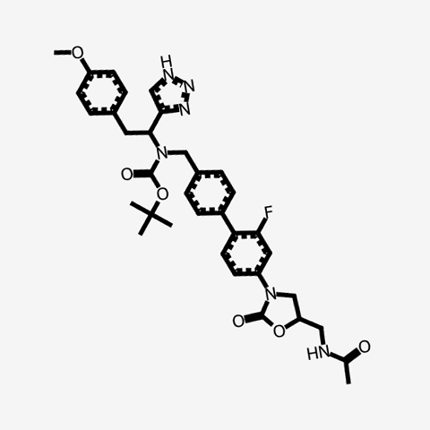 COc1ccc(CC(c2c[nH]nn2)N(Cc2ccc(-c3ccc(N4CC(CNC(C)=O)OC4=O)cc3F)cc2)C(=O)OC(C)(C)C)cc1